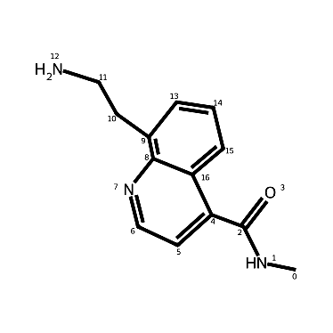 CNC(=O)c1ccnc2c(CCN)cccc12